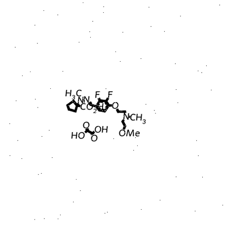 COCCN(C)CCOc1ccc(C=NN(C)C2(C(=O)O)CCCC2)c(F)c1F.O=C(O)C(=O)O